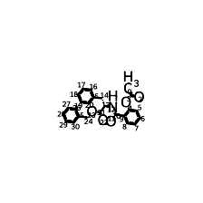 CC(=O)Oc1ccccc1C(=O)N[C@@H](Cc1ccccc1)C(=O)OCc1ccccc1